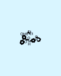 CCN(C=O)CC.O=C(Nc1ccc(N2CCCCC2=O)cc1)C(Oc1ccccc1)c1ccccc1